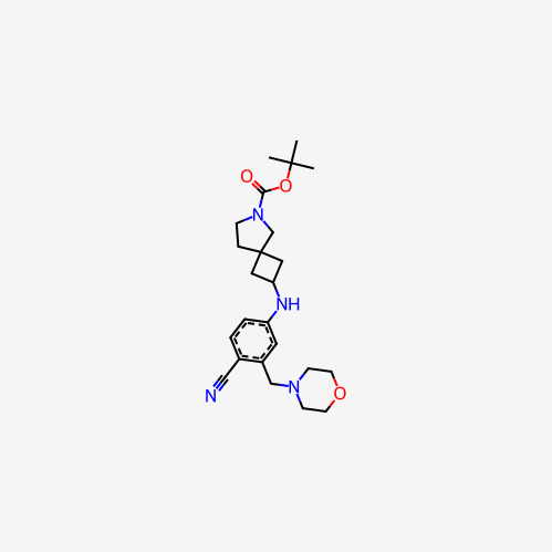 CC(C)(C)OC(=O)N1CCC2(CC(Nc3ccc(C#N)c(CN4CCOCC4)c3)C2)C1